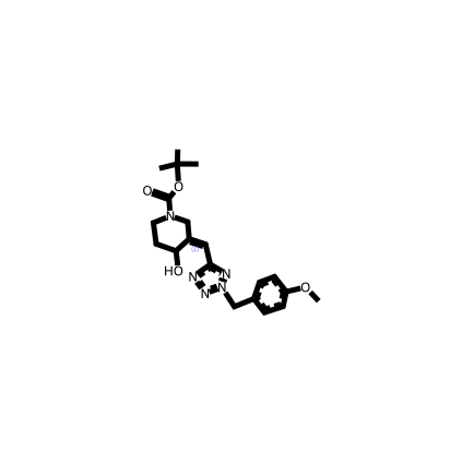 COc1ccc(Cn2nnc(/C=C3/CN(C(=O)OC(C)(C)C)CCC3O)n2)cc1